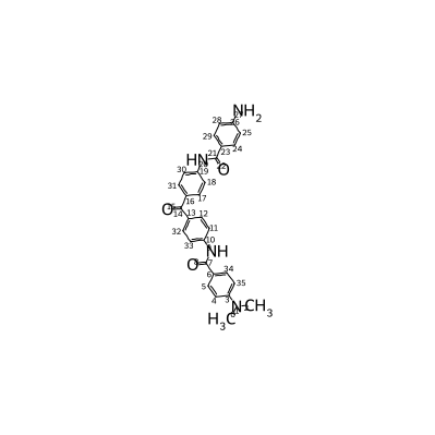 CN(C)c1ccc(C(=O)Nc2ccc(C(=O)c3ccc(NC(=O)c4ccc(N)cc4)cc3)cc2)cc1